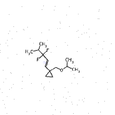 CC(C)OCC1(/C=C/C(F)(F)C(C)C)CC1